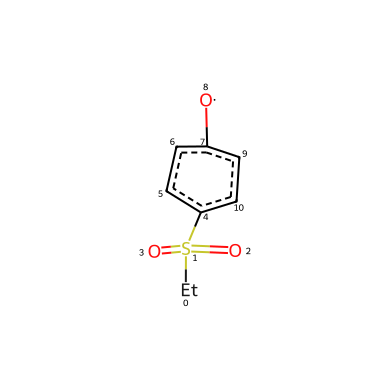 CCS(=O)(=O)c1ccc([O])cc1